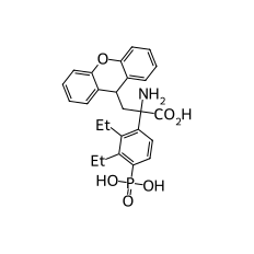 CCc1c(C(N)(CC2c3ccccc3Oc3ccccc32)C(=O)O)ccc(P(=O)(O)O)c1CC